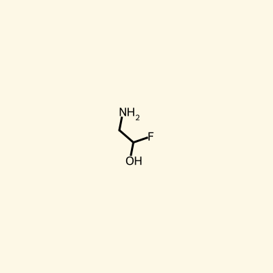 NCC(O)F